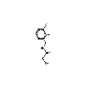 O=C(CS)NCc1cccc(Cl)c1Cl